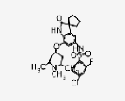 CC1CC(Oc2cc(NS(=O)(=O)c3ccc(Cl)cc3F)cc3c2NC(=O)C32CCCC2)CC(C)N1C